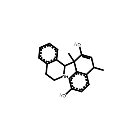 CC1C=C(O)C(C)(C2NCCc3ccccc32)c2cc(O)ccc21